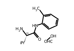 Cc1ccccc1NC(=O)[C@@H](N)C(C)C.O=CO